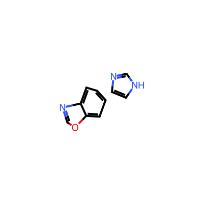 c1c[nH]cn1.c1ccc2ocnc2c1